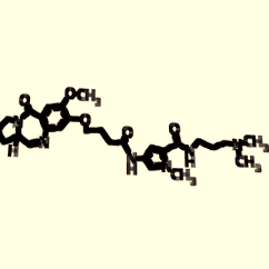 COc1cc2c(cc1OCCCC(=O)Nc1cc(C(=O)NCCCN(C)C)n(C)c1)N=C[C@@H]1CCCN1C2=O